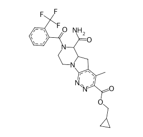 Cc1c(C(=O)OCC2CC2)nnc2c1CC1C(C(N)=O)N(C(=O)c3ccccc3C(F)(F)F)CCN21